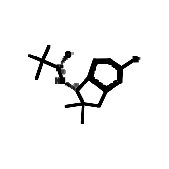 CC1(C)Cc2cc(Br)ccc2[C@H]1N[S@@+]([O-])C(C)(C)C